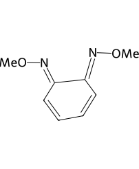 CON=C1C=CC=CC1=NOC